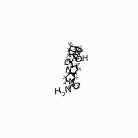 NC(=O)N1CCc2nc(C(=O)N(O)C34CC5CC(CC(C5)C3)C4)ccc2C1